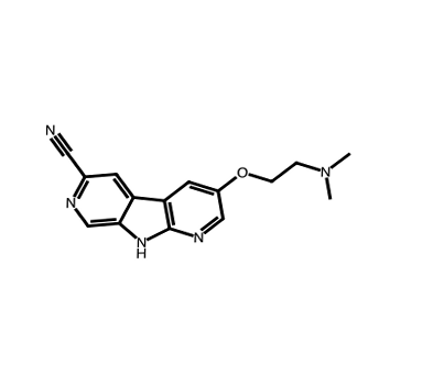 CN(C)CCOc1cnc2[nH]c3cnc(C#N)cc3c2c1